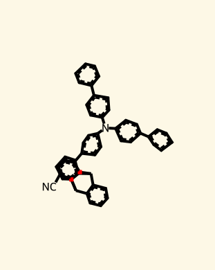 N#Cc1ccc(-c2ccc(N(c3ccc(-c4ccccc4)cc3)c3ccc(-c4ccccc4)cc3)cc2)c2c1C1c3ccccc3C2c2ccccc21